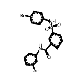 CC(=O)c1cccc(NC(=O)c2cccc(S(=O)(=O)Nc3ccc(Br)cc3)c2)c1